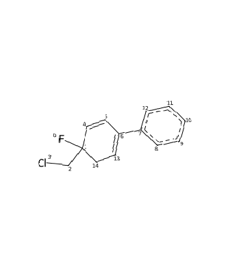 FC1(CCl)C=CC(c2ccccc2)=CC1